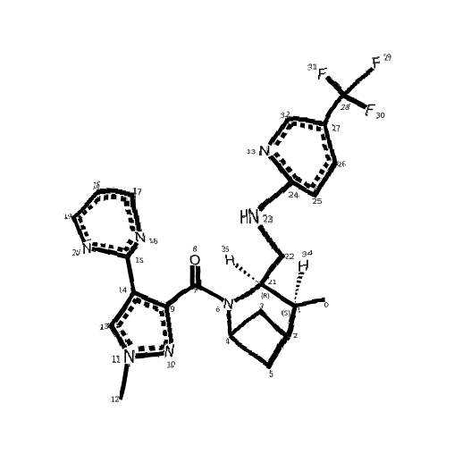 C[C@H]1C2CC(C2)N(C(=O)c2nn(C)cc2-c2ncccn2)[C@H]1CNc1ccc(C(F)(F)F)cn1